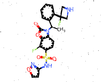 CC(c1ccccc1C1(F)CNC1)n1c(=O)oc2c(F)c(S(=O)(=O)Nc3ccon3)ccc21